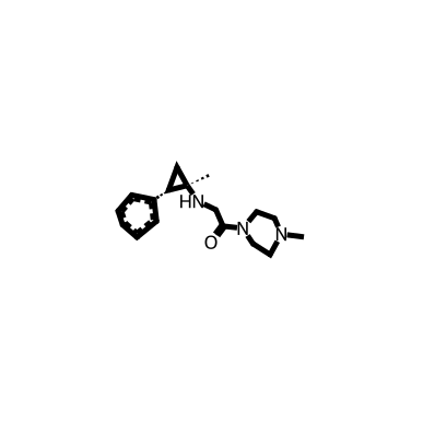 CN1CCN(C(=O)CN[C@]2(C)C[C@H]2c2ccccc2)CC1